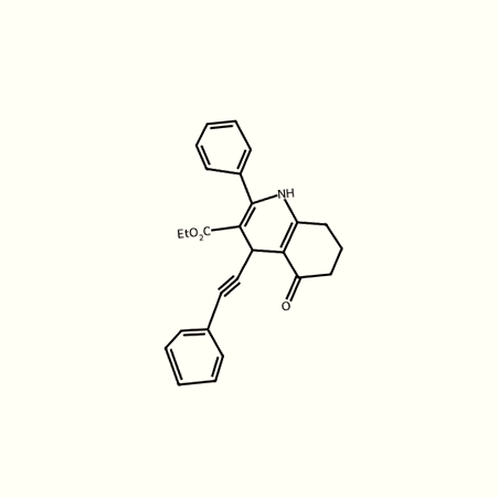 CCOC(=O)C1=C(c2ccccc2)NC2=C(C(=O)CCC2)C1C#Cc1ccccc1